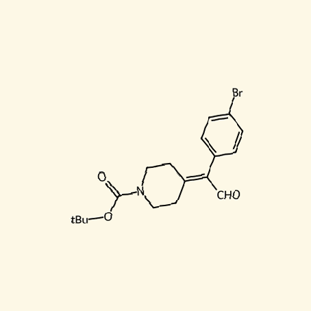 CC(C)(C)OC(=O)N1CCC(=C(C=O)c2ccc(Br)cc2)CC1